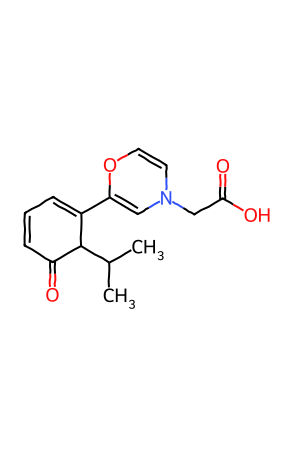 CC(C)C1C(=O)C=CC=C1C1=CN(CC(=O)O)C=CO1